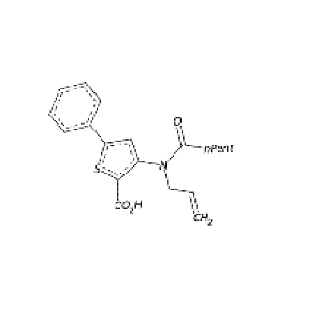 C=CCN(C(=O)CCCCC)c1cc(-c2ccccc2)sc1C(=O)O